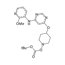 COc1ncccc1Nc1cc(OC2CCN(OC(=O)OC(C)(C)C)CC2)ncn1